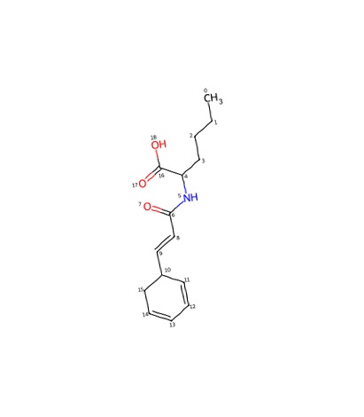 CCCCC(NC(=O)C=CC1C=CC=CC1)C(=O)O